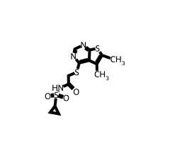 Cc1sc2ncnc(SCC(=O)NS(=O)(=O)C3CC3)c2c1C